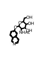 CC(=O)NC1C(Oc2ccc3cnccc3c2)OC(CO)C(O)C1O